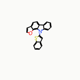 c1ccc2sc(-n3c4ccccc4c4ccc5ccoc5c43)cc2c1